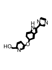 OCc1ccc(OC2C=c3cc(-c4cnccn4)[nH]c3=CC2)cn1